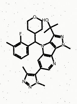 Cc1cccc(C(C2CCOCC2)n2c3cc(-c4c(C)nnn4C)cnc3c3c2c(C(C)(C)O)nn3C)c1F